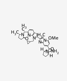 COc1cc(C(=O)N2[C@H]3CC[C@@H]2[C@H](N)C3)cc2nc(-c3cc4ccc([C@@H](C)N5C(=O)CCC5C)nc4n3CC3CC3)c(C)n12